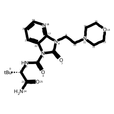 CC(C)(C)[C@H](NC(=O)n1c(=O)n(CCN2CCOCC2)c2ncccc21)C(N)=O